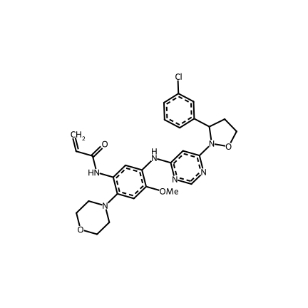 C=CC(=O)Nc1cc(Nc2cc(N3OCCC3c3cccc(Cl)c3)ncn2)c(OC)cc1N1CCOCC1